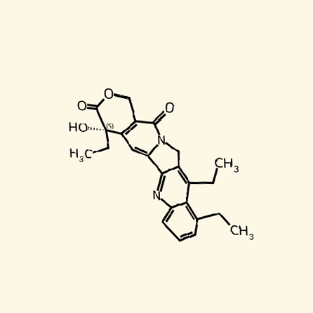 CCc1cccc2nc3c(c(CC)c12)Cn1c-3cc2c(c1=O)COC(=O)[C@]2(O)CC